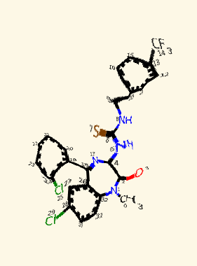 CN1C(=O)C(NC(=S)NCc2ccc(C(F)(F)F)cc2)N=C(c2ccccc2Cl)c2cc(Cl)ccc21